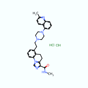 CNC(=O)c1ncn2c1CCc1c(CCN3CCN(c4cccc5nc(C)ccc45)CC3)cccc1-2.Cl.Cl